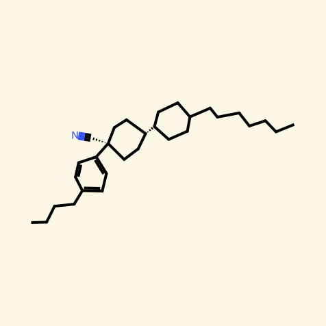 CCCCCCCC1CCC([C@H]2CC[C@](C#N)(c3ccc(CCCC)cc3)CC2)CC1